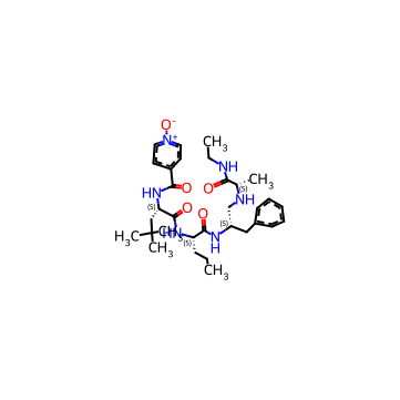 CCC[C@H](NC(=O)[C@H](CC(C)(C)C)NC(=O)c1cc[n+]([O-])cc1)C(=O)N[C@H](CN[C@@H](C)C(=O)NCC)Cc1ccccc1